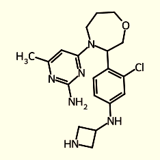 Cc1cc(N2CCCOCC2c2ccc(NC3CNC3)cc2Cl)nc(N)n1